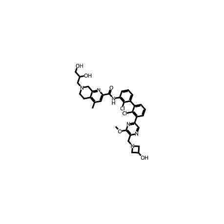 COc1nc(-c2cccc(-c3cccc(NC(=O)c4cc(C)c5c(n4)CN(CC(O)CO)CC5)c3Cl)c2Cl)cnc1CN1CC(O)C1